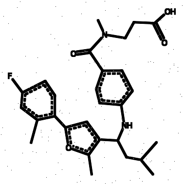 Cc1cc(F)ccc1-c1cc(C(CC(C)C)Nc2ccc(C(=O)N(C)CCC(=O)O)cc2)c(C)o1